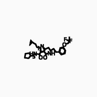 CC(F)(F)COc1cccc(CCC2Cc3nn(CCC4CC4)c(C(=O)NSC4CCCC4)c3C(=O)N2)c1